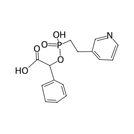 O=C(O)C(OP(=O)(O)CCc1cccnc1)c1ccccc1